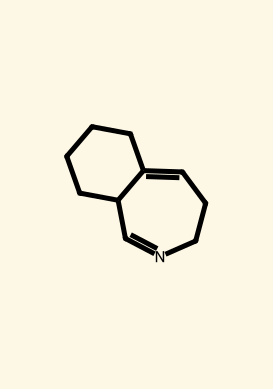 C1=NCCC=C2CCCCC12